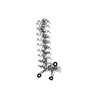 C[SiH](O[SiH](C)O[SiH](C)O[SiH](C)O[SiH](C)O[SiH](C)O[SiH](C)O[SiH](C)O[SiH](C)O[Si](C)(C)C)O[SiH](C)O[SiH](C)O[SiH](C)O[SiH](C)O[SiH](C)O[SiH](C)O[SiH](C)O[SiH](C)O[Si](C)(CCCOc1ccccc1)O[Si](C)(CCCOc1ccccc1)O[Si](C)(CCCOc1ccccc1)O[Si](C)(C)C